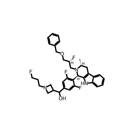 C[C@@H]1Cc2c([nH]c3ccccc23)[C@@H](c2c(F)cc(C(O)C3CN(CCCF)C3)cc2F)N1C[C@@H](F)COCc1ccccc1